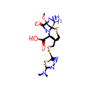 CO[C@@]1(N)C(=O)N2C(C(=O)O)=C(CSc3nnc(N(C)C)s3)CS[C@@H]21